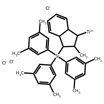 Cc1cc(C)cc([Si](c2cc(C)cc(C)c2)(c2cc(C)cc(C)c2)C2C(C)[CH]([Ti+3])C3C=CC=CC32)c1.[Cl-].[Cl-].[Cl-]